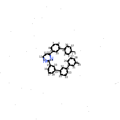 Cc1ccc(-c2cccc(-c3ccnc(-c4cccc(-c5cccc(-c6cccc(C)c6)c5)c4)n3)c2)cc1